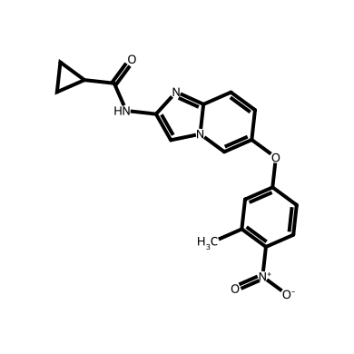 Cc1cc(Oc2ccc3nc(NC(=O)C4CC4)cn3c2)ccc1[N+](=O)[O-]